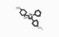 Cc1ccc(-c2cc(C3(O)CCC(O)CC3)nn2-c2ccccc2)cc1